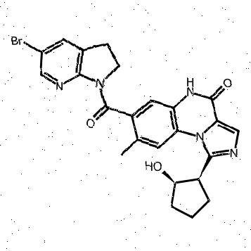 Cc1cc2c(cc1C(=O)N1CCc3cc(Br)cnc31)[nH]c(=O)c1cnc([C@H]3CCC[C@H]3O)n12